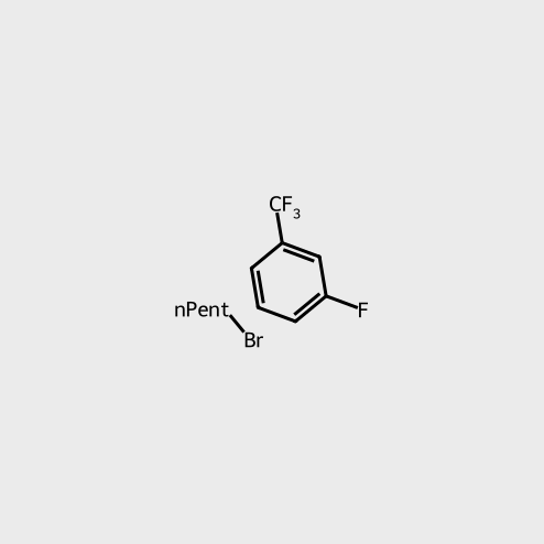 CCCCCBr.Fc1cccc(C(F)(F)F)c1